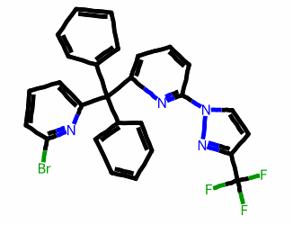 FC(F)(F)c1ccn(-c2cccc(C(c3ccccc3)(c3ccccc3)c3cccc(Br)n3)n2)n1